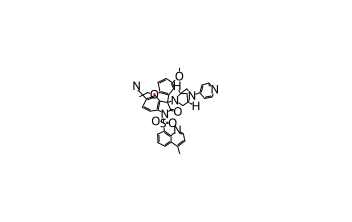 CCOc1ccc(OC)cc1C1(N2C[C@@H]3C[C@H]2CN3c2ccncc2)C(=O)N(S(=O)(=O)c2cccc3c(C)ccnc23)c2ccc(C#N)cc21